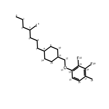 CCCC(I)CCCC1CCC(COc2ccc(C)c(F)c2F)CC1